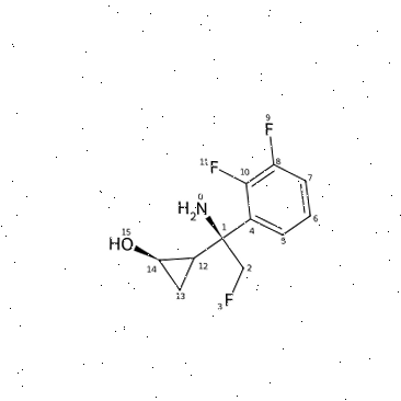 N[C@](CF)(c1cccc(F)c1F)C1C[C@H]1O